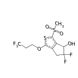 CS(=O)(=O)c1sc(OCCC(F)(F)F)c2c1C(O)C(F)(F)C2